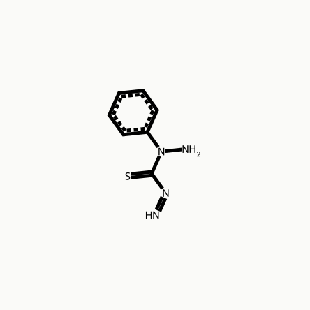 N=NC(=S)N(N)c1ccccc1